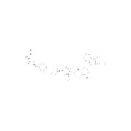 COc1cc(-c2cn(C)c(=O)c3ccccc23)cc(F)c1CC1CCN(CC(=O)N2CCC(c3ccc(NC4CCC(=O)NC4=O)cc3)CC2)CC1